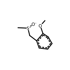 COc1cc[c]cc1C[S+](C)[O-]